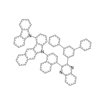 c1ccc(-c2cc(-c3ccccc3)cc(-c3nc4ccccc4nc3-c3ccc(-n4c5cc6ccccc6cc5c5c(-n6c7ccccc7c7ccccc76)cccc54)c4ccccc34)c2)cc1